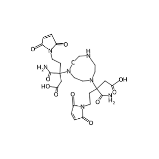 NC(=O)C(CCN1C(=O)C=CC1=O)(CC(=O)O)N1CCNCCN(C(CCN2C(=O)C=CC2=O)(CC(=O)O)C(N)=O)CC1